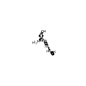 Nc1cc(N2CCN(CCO)CC2)nc(NCC2CCC(CNCCCNC3C[C@@H]4CCC3C4)CC2)n1